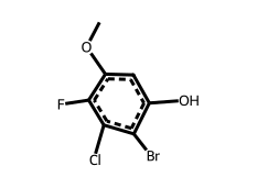 COc1cc(O)c(Br)c(Cl)c1F